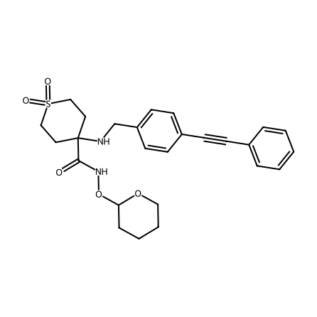 O=C(NOC1CCCCO1)C1(NCc2ccc(C#Cc3ccccc3)cc2)CCS(=O)(=O)CC1